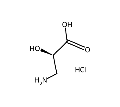 Cl.NC[C@@H](O)C(=O)O